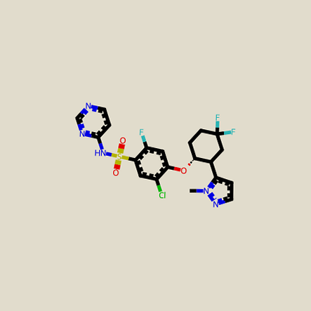 Cn1nccc1C1CC(F)(F)CC[C@H]1Oc1cc(F)c(S(=O)(=O)Nc2ccncn2)cc1Cl